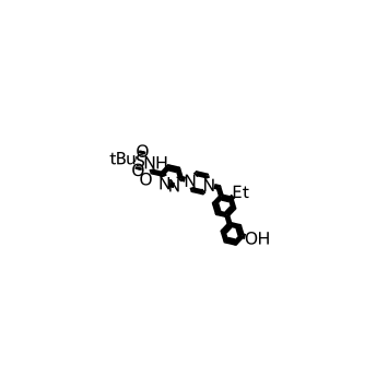 CCc1cc(-c2cccc(O)c2)ccc1CN1CCN(c2ccc(C(=O)NS(=O)(=O)C(C)(C)C)nn2)CC1